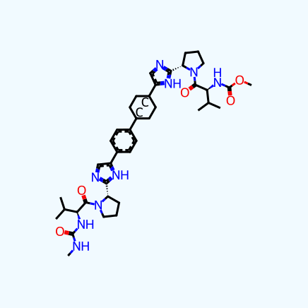 CNC(=O)N[C@H](C(=O)N1CCC[C@H]1c1ncc(-c2ccc(C34CCC(c5cnc([C@@H]6CCCN6C(=O)[C@@H](NC(=O)OC)C(C)C)[nH]5)(CC3)CC4)cc2)[nH]1)C(C)C